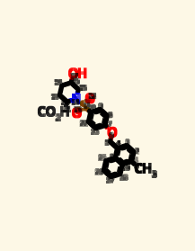 Cc1ccc(COc2ccc(S(=O)(=O)N3CC(O)CCC3C(=O)O)cc2)c2ccccc12